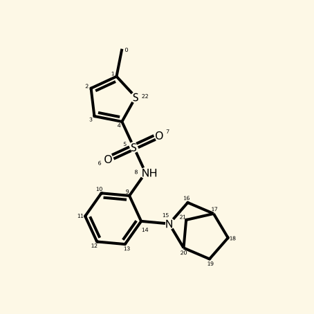 Cc1ccc(S(=O)(=O)Nc2ccccc2N2CC3CCC2C3)s1